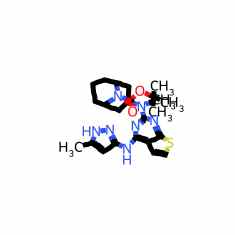 Cc1cc(Nc2nc(N(C)C3CC4CCCC(C3)N4C(=O)OC(C)(C)C)nc3sccc23)n[nH]1